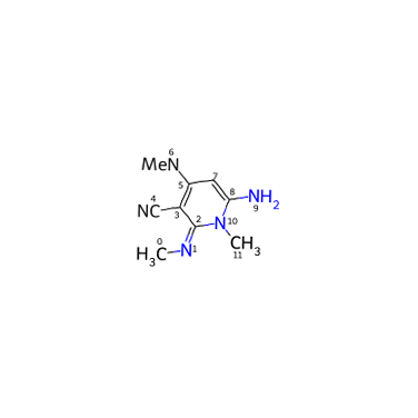 C/N=c1\c(C#N)c(NC)cc(N)n1C